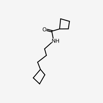 O=C(NCCCC1CCC1)C1CCC1